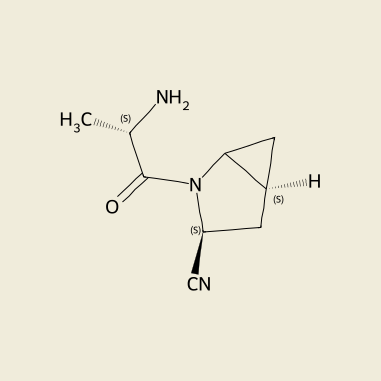 C[C@H](N)C(=O)N1C2C[C@H]2C[C@H]1C#N